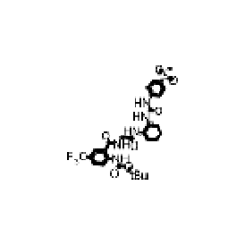 CC(C)(C)OC(=O)Nc1ccc(C(F)(F)F)cc1C(=O)NCC(=O)N[C@@H]1CCCC[C@@H]1NC(=O)Nc1ccc(S(C)(=O)=O)cc1